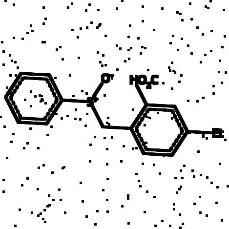 CCc1ccc(C[S+]([O-])c2ccccc2)c(C(=O)O)c1